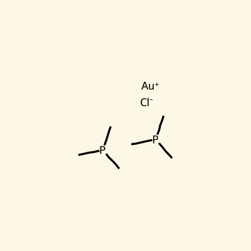 CP(C)C.CP(C)C.[Au+].[Cl-]